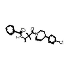 CC(NC(=O)c1ccccc1)C(C)(C)C(=O)N1CCC(c2ccc(Cl)cc2)CC1